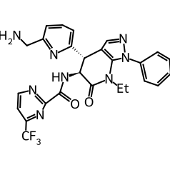 CCN1C(=O)[C@@H](NC(=O)c2nccc(C(F)(F)F)n2)[C@H](c2cccc(CN)n2)c2cnn(-c3ccccc3)c21